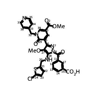 COC(=O)c1cc(-c2nn(C(=O)c3cccc(C(=O)O)c3)c(NCc3ccc(Cl)s3)c2OC)c(=O)n(Cc2ccncc2)c1